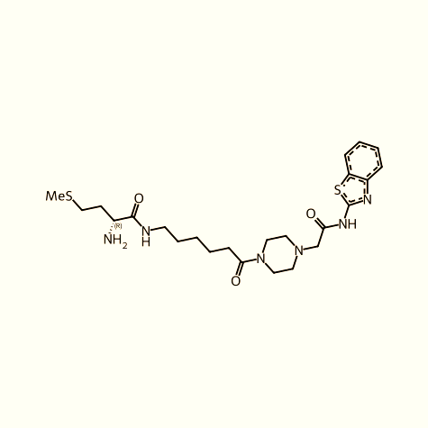 CSCC[C@@H](N)C(=O)NCCCCCC(=O)N1CCN(CC(=O)Nc2nc3ccccc3s2)CC1